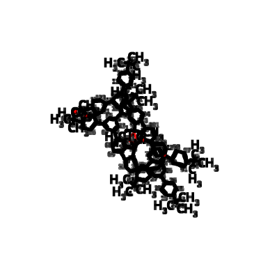 CCC1(OC2C(C)(C)c3ccc(cc3)-c3cc(-c4ccc(C(C)(C)C)cc4)cc(c3)-c3ccc4c(c3)C2(CC)c2cc(-c3cc(-c5ccc(C(C)(C)C)cc5)cc(-c5ccc(C(C)(C)C)cc5)c3)ccc2-4)c2cc(-c3cc(-c4ccc(C(C)(C)C)cc4)cc(-c4ccc(C(C)(C)C)cc4)c3)ccc2-c2ccc(-c3cc(-c4ccc(C(C)(C)C)cc4)cc(-c4ccc(C(C)(C)C)cc4)c3)cc21